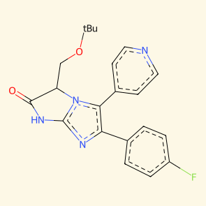 CC(C)(C)OCC1C(=O)Nc2nc(-c3ccc(F)cc3)c(-c3ccncc3)n21